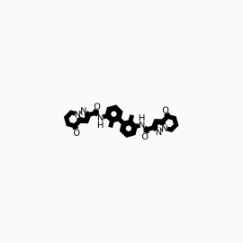 Cc1c(NC(=O)c2cc3n(n2)CCCC3=O)cccc1-c1cccc(NC(=O)c2cc3n(n2)CCCC3=O)c1C